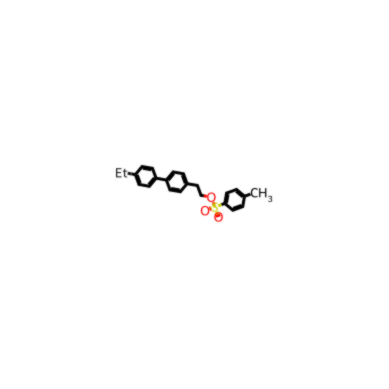 CCc1ccc(-c2ccc(CCOS(=O)(=O)c3ccc(C)cc3)cc2)cc1